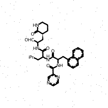 CC(C)CC(NC(=O)C(Cc1cccc2ccccc12)NC(=O)c1cnccn1)C(=O)NC(C=O)C[C@@H]1CCCNC1=O